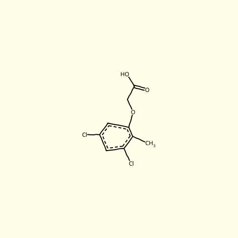 Cc1c(Cl)cc(Cl)cc1OCC(=O)O